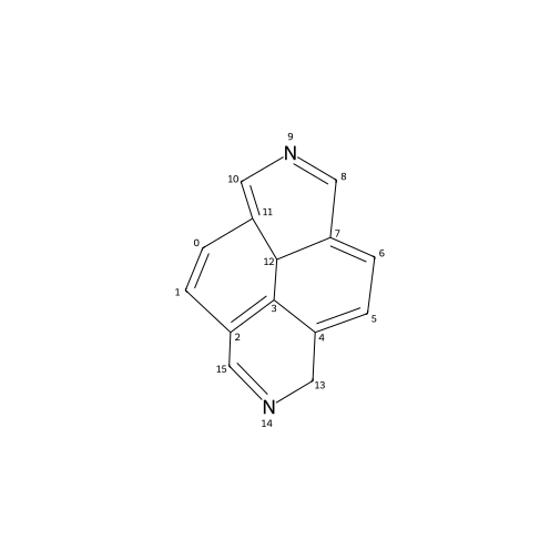 C1=CC2=C3C(=CC=C4C=NC=C1C43)CN=C2